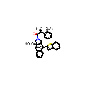 C=C(C(=O)N1CC2C3(c4cc5ccccc5s4)CCC(c4ccccc43)C2(C(=O)O)C1)c1ccccc1OC